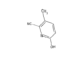 Cc1ccc(O)nc1C#N